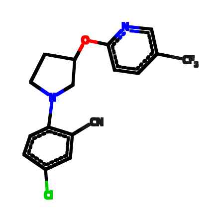 N#Cc1cc(Cl)ccc1N1CCC(Oc2ccc(C(F)(F)F)cn2)C1